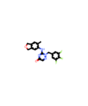 Cc1cc2c(cc1Nc1nc(=O)cnn1Cc1cc(F)c(F)c(F)c1)COC2